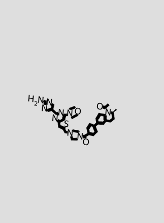 CC(=O)N1c2ccc(-c3ccc(C(=O)N4CCN(Cc5cc6nc(-c7cnc(N)nc7)nc(N7CCOCC7)c6s5)CC4)cc3)cc2CC[C@@H]1C